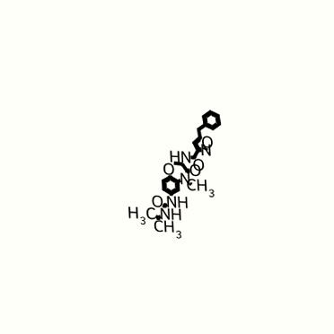 CC(C)NC(=O)Nc1ccc2c(c1)N(C)C(=O)C(NC(=O)c1cc(Cc3ccccc3)on1)CO2